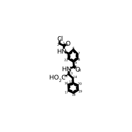 O=C(CCl)Nc1cccc(C(=O)N[C@@H](Cc2ccccc2)C(=O)O)c1